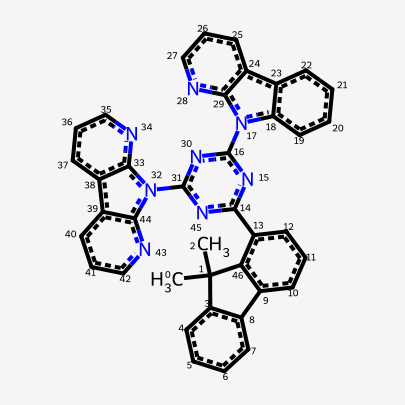 CC1(C)c2ccccc2-c2cccc(-c3nc(-n4c5ccccc5c5cccnc54)nc(-n4c5ncccc5c5cccnc54)n3)c21